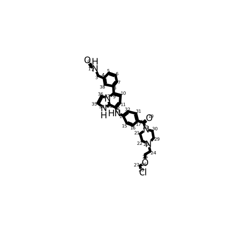 O=CNCc1cccc(C2=CC=C(Nc3ccc(C(=O)N4CCN(CCOCCl)CC4)cc3)C3NC=CN23)c1